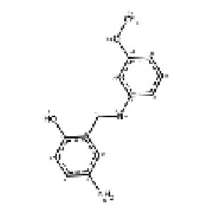 Nc1ccc(O)c(CNc2cccc(OC(F)(F)F)c2)c1